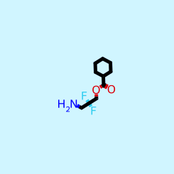 NCC(F)(F)COC(=O)C1CCCCC1